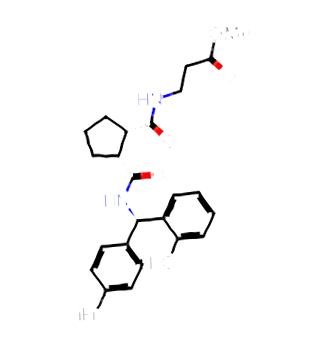 COC(=O)CCNC(=O)[C@H]1CCC[C@H]1C(=O)N[C@H](c1ccc(C(C)C)cc1)c1ccccc1C